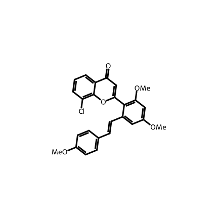 COc1ccc(C=Cc2cc(OC)cc(OC)c2-c2cc(=O)c3cccc(Cl)c3o2)cc1